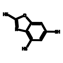 Sc1cc(S)c2nc(S)oc2c1